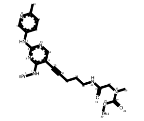 CCCNc1nc(Nc2ccc(C)nc2)ncc1C#CCCCNC(=O)CN(C)C(=O)OC(C)(C)C